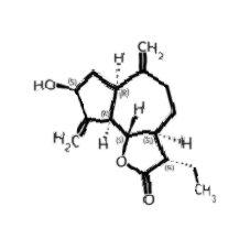 C=C1[C@@H]2[C@H]3OC(=O)[C@@H](CC)[C@@H]3CCC(=C)[C@@H]2C[C@@H]1O